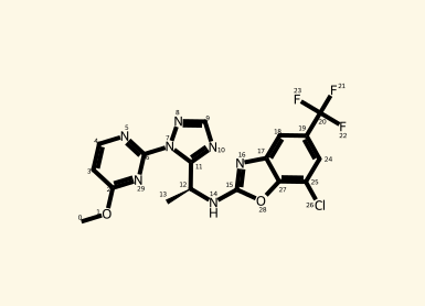 COc1ccnc(-n2ncnc2[C@H](C)Nc2nc3cc(C(F)(F)F)cc(Cl)c3o2)n1